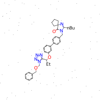 CCCCC1=NC2(CCCC2)C(=O)N1Cc1ccc(-c2cccc(OC(CC)c3nnnn3COCc3ccccc3)c2)cc1